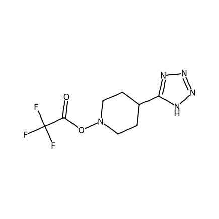 O=C(ON1CCC(c2nnn[nH]2)CC1)C(F)(F)F